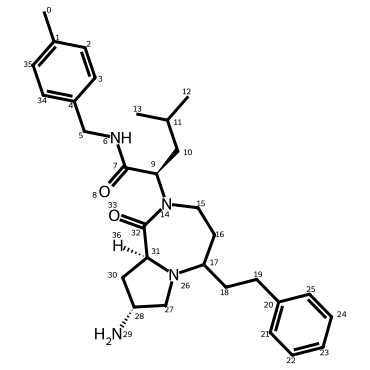 Cc1ccc(CNC(=O)[C@@H](CC(C)C)N2CCC(CCc3ccccc3)N3C[C@H](N)C[C@H]3C2=O)cc1